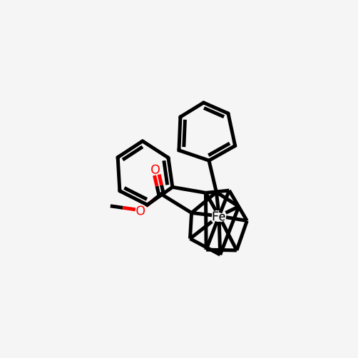 COC(=O)[C]12[CH]3[CH]4[CH]5[C]1(c1ccccc1)[Fe]43521678[CH]2[CH]1[CH]6[C]7(c1ccccc1)[CH]28